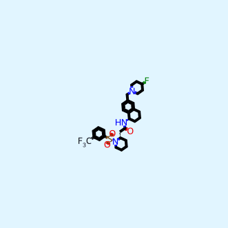 O=C(C[C@@H]1CCCCN1S(=O)(=O)c1cccc(C(F)(F)F)c1)N[C@@H]1CCCc2cc(CN3CCC(F)CC3)ccc21